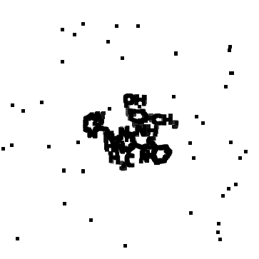 Cc1nc(NCc2ncccn2)nc(N[C@@H]2C[C@H](CO)C[C@H]2C)c1-c1nc2ccccc2s1